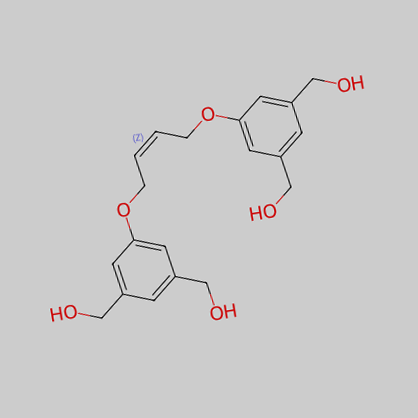 OCc1cc(CO)cc(OC/C=C\COc2cc(CO)cc(CO)c2)c1